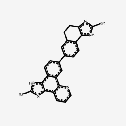 CCc1nc2c3cccnc3c3cc(-c4ccc5c(c4)CCc4nc(C(C)C)[nH]c4-5)ccc3c2[nH]1